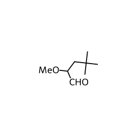 COC(C=O)CC(C)(C)C